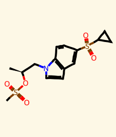 C[C@@H](Cn1ccc2cc(S(=O)(=O)C3CC3)ccc21)OS(C)(=O)=O